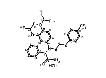 Cl.NC(=O)[C@H](c1ccccc1)N(CCCc1ccc(C(F)(F)F)cc1)c1ccc(OC(F)F)c(OC(F)F)c1